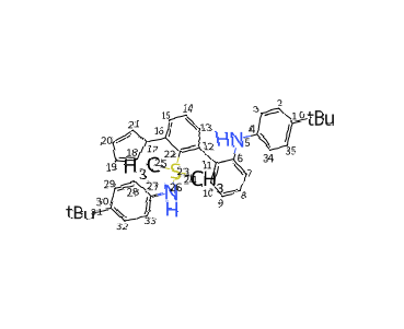 CC(C)(C)c1ccc(Nc2ccccc2-c2cccc(C3C=CC=C3)c2S(C)(C)Nc2ccc(C(C)(C)C)cc2)cc1